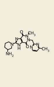 Cc1ccnc(Cn2c(=O)c3[nH]c(N4CCCC(N)C4)nc3c(=O)n2C)n1